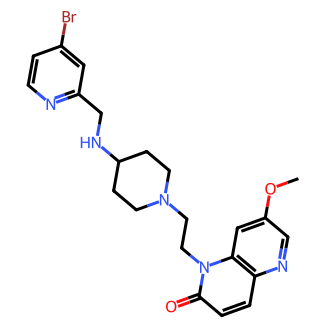 COc1cnc2ccc(=O)n(CCN3CCC(NCc4cc(Br)ccn4)CC3)c2c1